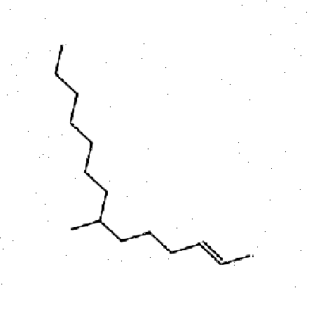 [CH2]C=CCCCC(C)CCCCCC[CH2]